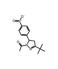 CC(=O)N1N=C(C(C)(C)C)CC1c1ccc([N+](=O)[O-])cc1